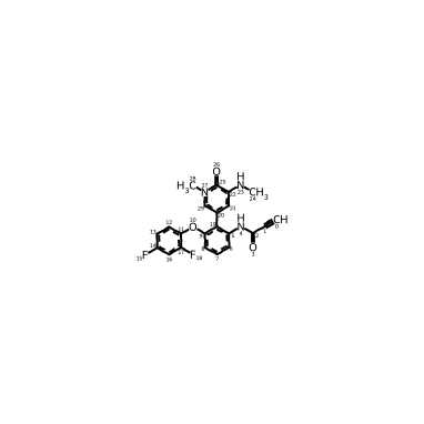 C#CC(=O)Nc1cccc(Oc2ccc(F)cc2F)c1-c1cc(NC)c(=O)n(C)c1